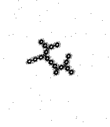 c1ccc(-c2ccc(-c3ccc(N(c4ccc(-c5ccc(-c6ccc(N(c7ccccc7)c7ccc(N(c8ccc(-c9ccccc9)cc8)c8ccc(-c9ccccc9)cc8)cc7)cc6)cc5)cc4)c4ccc(N(c5ccc(-c6ccccc6)cc5)c5ccc(-c6ccccc6)cc5)cc4)cc3)cc2)cc1